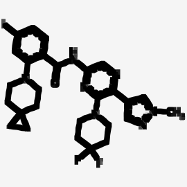 Cn1cc(-c2ncc(NC(=O)c3ccc(I)cc3N3CCC4(CC3)CC4)nc2N2CCC(F)(F)CC2)cn1